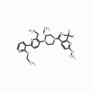 CCOc1ncccc1-c1ccc(N2CCN(C(=O)c3ccc(OC)nc3C(F)(F)F)C[C@H]2CC)c(CN)n1